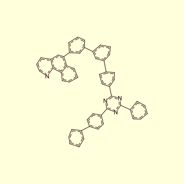 c1ccc(-c2ccc(-c3nc(-c4ccccc4)nc(-c4ccc(-c5cccc(-c6cccc(-c7cc8cccnc8c8ccccc78)c6)c5)cc4)n3)cc2)cc1